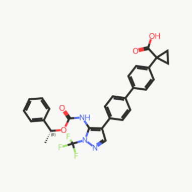 C[C@@H](OC(=O)Nc1c(-c2ccc(-c3ccc(C4(C(=O)O)CC4)cc3)cc2)cnn1C(F)(F)F)c1ccccc1